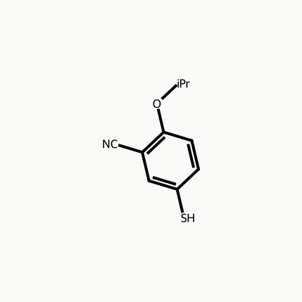 CC(C)Oc1ccc(S)cc1C#N